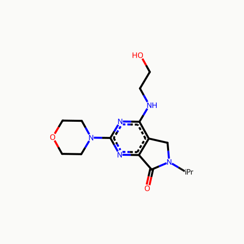 CC(C)N1Cc2c(NCCO)nc(N3CCOCC3)nc2C1=O